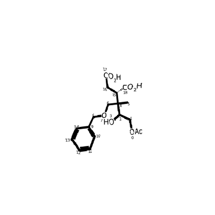 CC(=O)OCC(O)C(C)(COCc1ccccc1)[C@H](CC(=O)O)C(=O)O